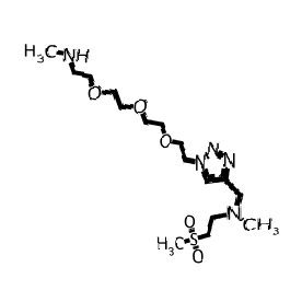 CNCCOCCOCCOCCn1cc(CN(C)CCS(C)(=O)=O)nn1